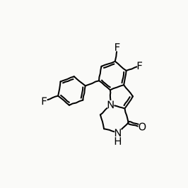 O=C1NCCn2c1cc1c(F)c(F)cc(-c3ccc(F)cc3)c12